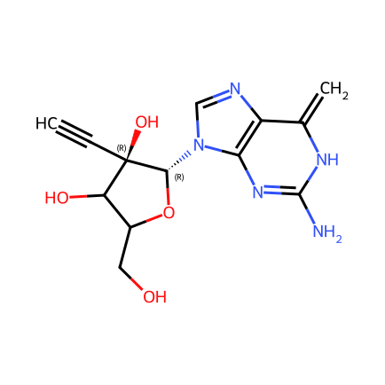 C#C[C@@]1(O)C(O)C(CO)O[C@H]1n1cnc2c1N=C(N)NC2=C